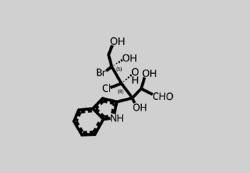 O=CC(O)C(O)(c1cc2ccccc2[nH]1)[C@@](O)(Cl)[C@@](O)(Br)CO